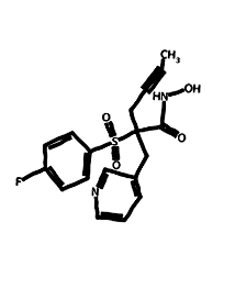 CC#CCC(Cc1cccnc1)(C(=O)NO)S(=O)(=O)c1ccc(F)cc1